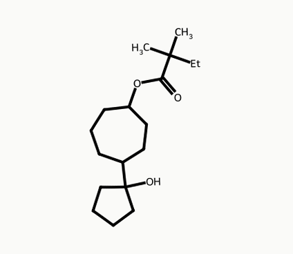 CCC(C)(C)C(=O)OC1CCCC(C2(O)CCCC2)CC1